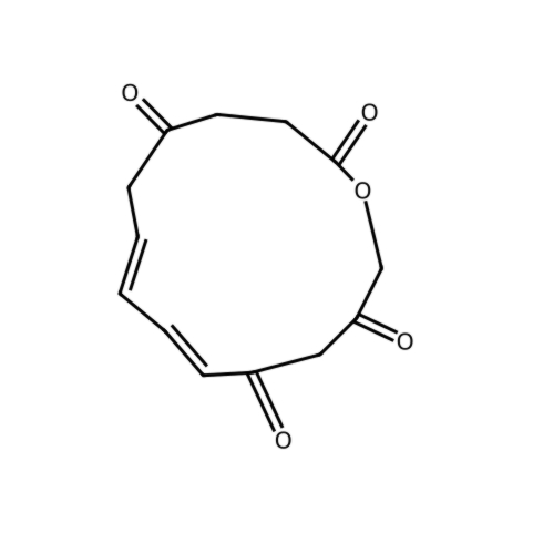 O=C1/C=C/C=C/CC(=O)CCC(=O)OCC(=O)C1